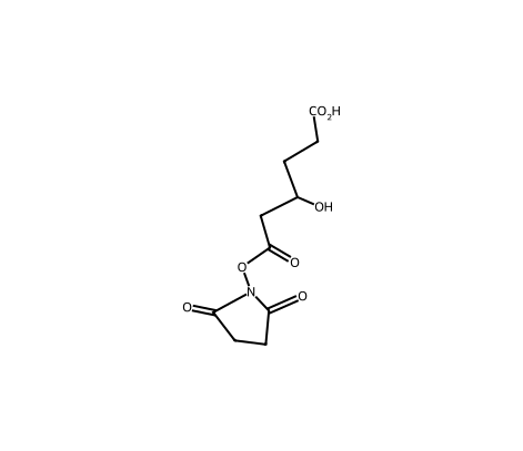 O=C(O)CCC(O)CC(=O)ON1C(=O)CCC1=O